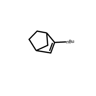 C[CH]CCC1=CC2CCC1C2